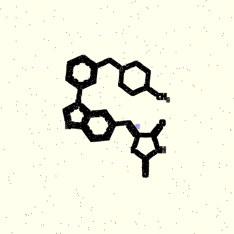 CN1CCN(Cc2cccc(-n3cnc4ccc(/C=C5\SC(=O)NC5=O)cc43)c2)CC1